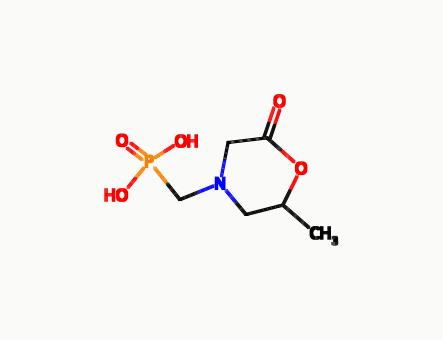 CC1CN(CP(=O)(O)O)CC(=O)O1